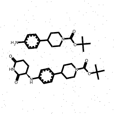 CC(C)(C)OC(=O)N1CCC(c2ccc(N)cc2)CC1.CC(C)(C)OC(=O)N1CCC(c2ccc(N[C@@H]3CCC(=O)NC3=O)cc2)CC1